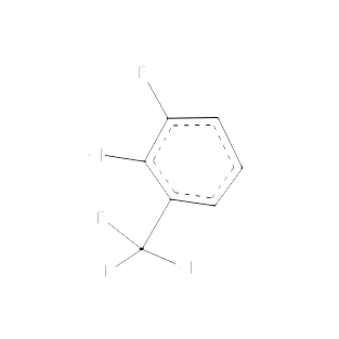 Fc1cccc(C(F)(F)Cl)c1Cl